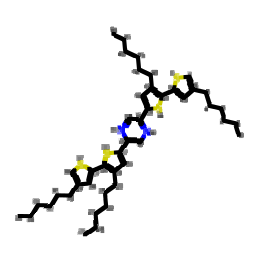 CCCCCCc1csc(-c2sc(-c3cnc(-c4cc(CCCCCC)c(-c5cc(CCCCCC)cs5)s4)cn3)cc2CCCCCC)c1